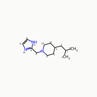 CC(C)CC1CCN(Cc2ncc[nH]2)CC1